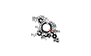 CC[C@H]1OC(=O)[C@H](C)[C@@H](O[C@H]2C[C@@](C)(OC)[C@@H](O)[C@H](C)O2)[C@H](C)[C@@H](O[C@@H]2O[C@H](C)C[C@H](N(C)CCc3cn([C@H](CF)[C@H](OC)c4ccc(S(=O)(=O)CF)cc4)nn3)[C@H]2O)[C@](C)(O)C[C@@H](C)CN(C)[C@H](C)[C@@H](O)[C@]1(C)O